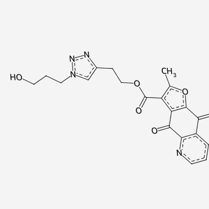 Cc1oc2c(c1C(=O)OCCc1cn(CCCO)nn1)C(=O)c1ncccc1C2=O